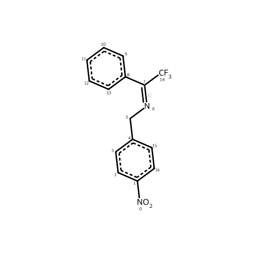 O=[N+]([O-])c1ccc(C/N=C(\c2ccccc2)C(F)(F)F)cc1